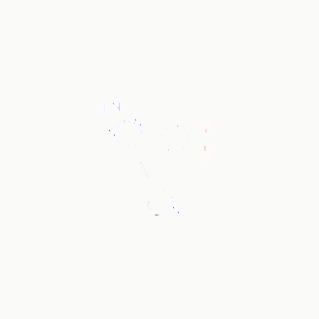 Cc1nc(N)nc(-c2ccc(S(C)(=O)=O)cc2)c1C#Cc1cccnc1